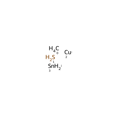 C.S.[Cu].[SnH2]